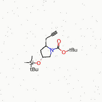 C#CCC1C[C@@H](O[Si](C)(C)C(C)(C)C)CN1C(=O)OC(C)(C)C